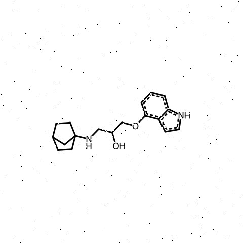 OC(CNC12CCC(CC1)C2)COc1cccc2[nH]ccc12